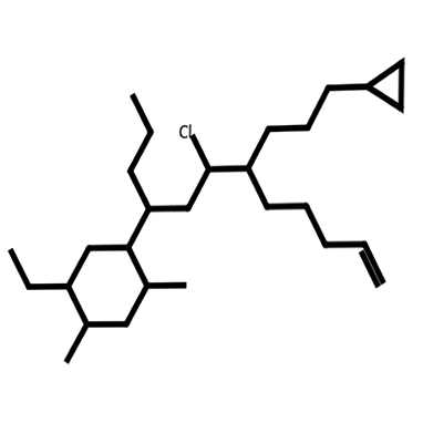 C=CCCCC(CCCC1CC1)C(Cl)CC(CCC)C1CC(CC)C(C)CC1C